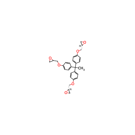 CC(c1ccc(OCC2CO2)cc1)(c1ccc(OC[C@@H]2CO2)cc1)c1ccc(OC[C@@H]2CO2)cc1